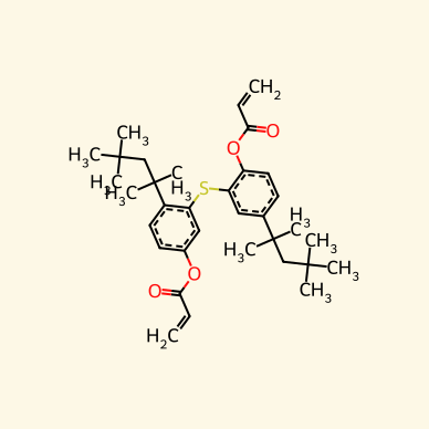 C=CC(=O)Oc1ccc(C(C)(C)CC(C)(C)C)c(Sc2cc(C(C)(C)CC(C)(C)C)ccc2OC(=O)C=C)c1